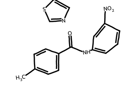 Cc1ccc(C(=O)Nc2cccc([N+](=O)[O-])c2)cc1.c1cscn1